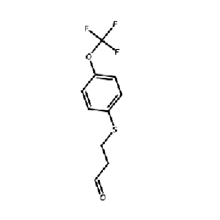 O=CCCSc1ccc(OC(F)(F)F)cc1